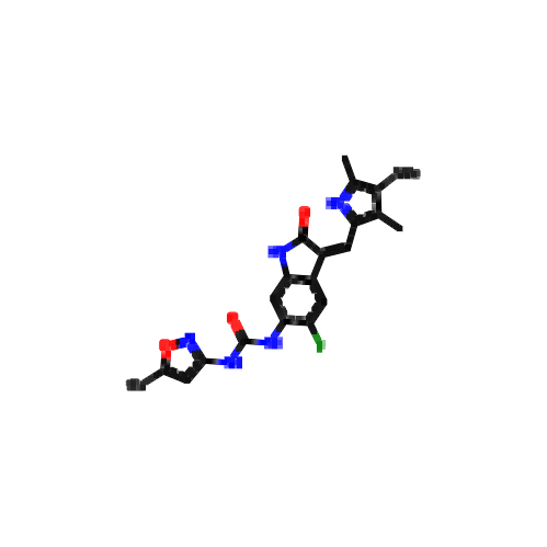 CNc1c(C)[nH]c(/C=C2\C(=O)Nc3cc(NC(=O)Nc4cc(C(C)(C)C)on4)c(F)cc32)c1C